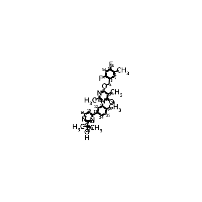 Cc1cc(COc2nc(C)n(-c3cc(-c4ccnc(C(C)(C)O)n4)ccc3C)c(=O)c2C)c(F)cc1F